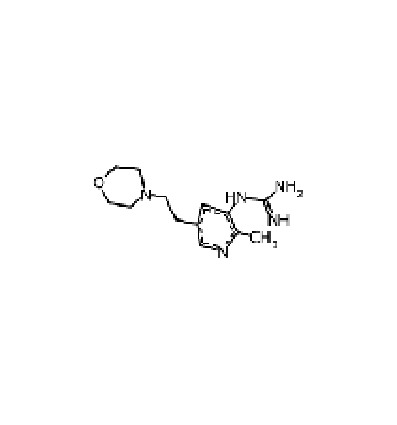 Cc1ncc(CCN2CCOCC2)cc1NC(=N)N